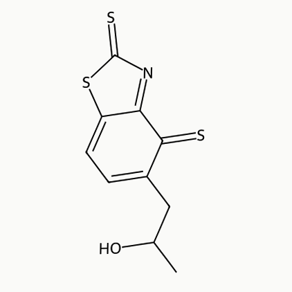 CC(O)CC1=CC=C2SC(=S)N=C2C1=S